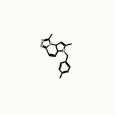 CC1=CC2C(C=Cc3nnc(C)n32)N1Cc1ccc(C)cc1